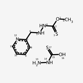 COC(=S)NNCc1ccccn1.NNC(O)=S